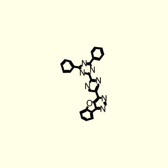 c1ccc(-c2nc(-c3ccccc3)nc(-c3ncc(-c4ncnc5c4oc4ccccc45)cn3)n2)cc1